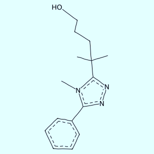 Cn1c(-c2ccccc2)nnc1C(C)(C)CCCO